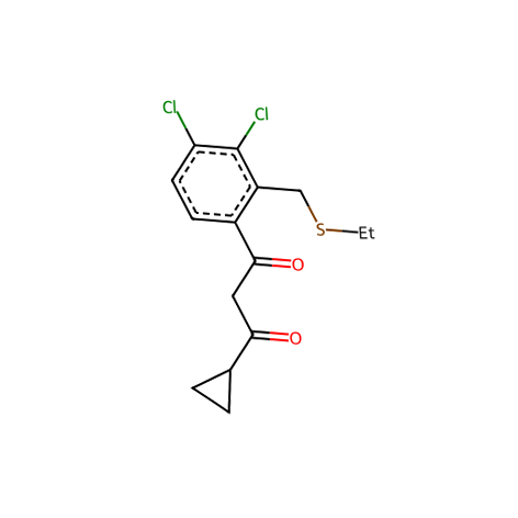 CCSCc1c(C(=O)CC(=O)C2CC2)ccc(Cl)c1Cl